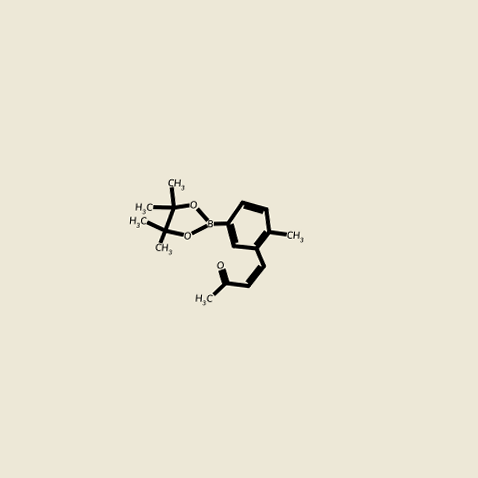 CC(=O)/C=C\c1cc(B2OC(C)(C)C(C)(C)O2)ccc1C